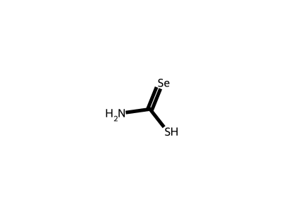 NC(S)=[Se]